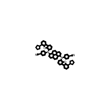 N#Cc1ccc(N(c2ccc3ccc4c(N(c5ccc(C#N)cc5)c5cccc6c5oc5c(C7CCCC7)cccc56)ccc5ccc2c3c54)c2cccc3c2oc2c(C4CCCC4)cccc23)cc1